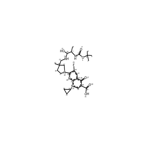 CC(NC(=O)OC(C)(C)C)C(O)NCC1(C)CCN(c2nc3c(cc2F)c(=O)c(C(=O)O)cn3C2CC2)C1